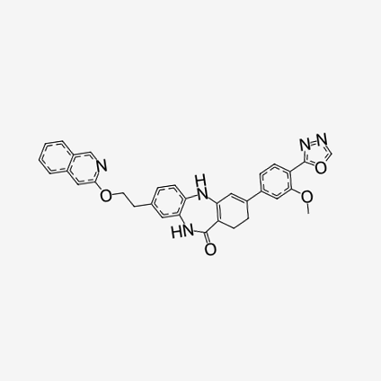 COc1cc(C2=CC3=C(CC2)C(=O)Nc2cc(CCOc4cc5ccccc5cn4)ccc2N3)ccc1-c1nnco1